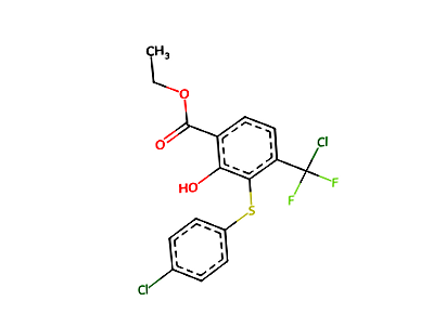 CCOC(=O)c1ccc(C(F)(F)Cl)c(Sc2ccc(Cl)cc2)c1O